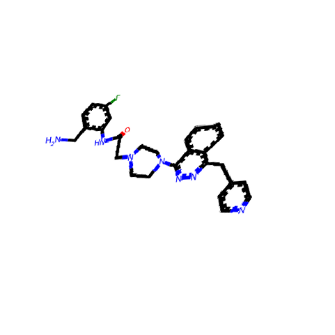 NCc1ccc(F)cc1NC(=O)CN1CCN(c2nnc(Cc3ccncc3)c3ccccc23)CC1